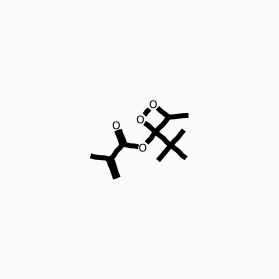 C=C(C)C(=O)OC1(C(C)(C)C)OO[C]1C